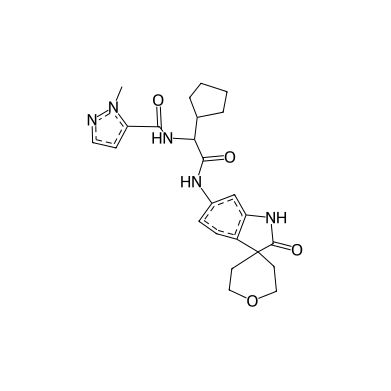 Cn1nccc1C(=O)NC(C(=O)Nc1ccc2c(c1)NC(=O)C21CCOCC1)C1CCCC1